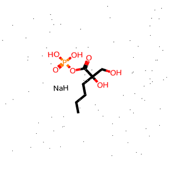 CCCCC(O)(CO)C(=O)OP(=O)(O)O.[NaH]